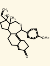 C=CC1(O)CCC2C3CCC4=CC(=O)CCC4=C3C(c3ccc(OC)cc3)OCC21C